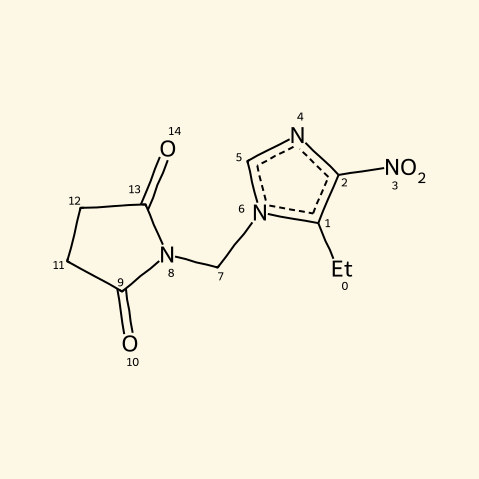 CCc1c([N+](=O)[O-])ncn1CN1C(=O)CCC1=O